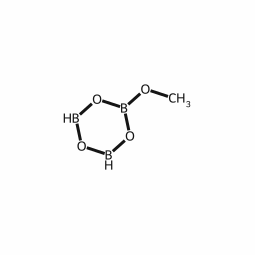 COB1OBOBO1